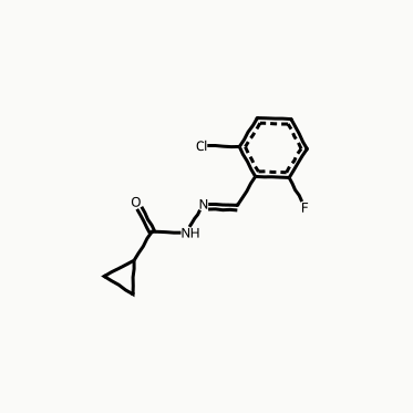 O=C(N/N=C/c1c(F)cccc1Cl)C1CC1